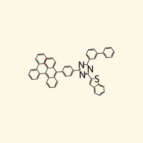 c1ccc(-c2cccc(-c3nc(-c4ccc(-c5c6ccccc6c(-c6ccccc6-c6ccccc6)c6ccccc56)cc4)nc(-c4cc5ccccc5s4)n3)c2)cc1